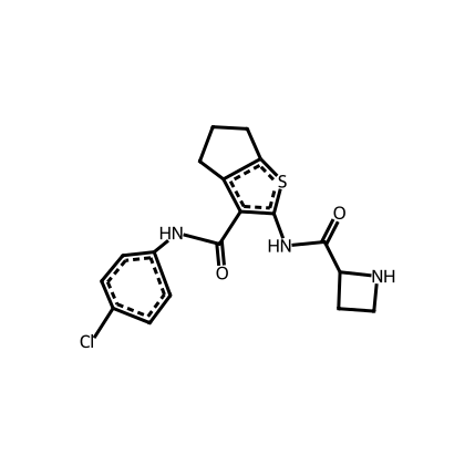 O=C(Nc1ccc(Cl)cc1)c1c(NC(=O)C2CCN2)sc2c1CCC2